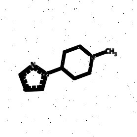 CN1CCC(n2c[c]cn2)CC1